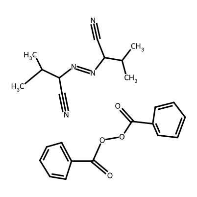 CC(C)C(C#N)N=NC(C#N)C(C)C.O=C(OOC(=O)c1ccccc1)c1ccccc1